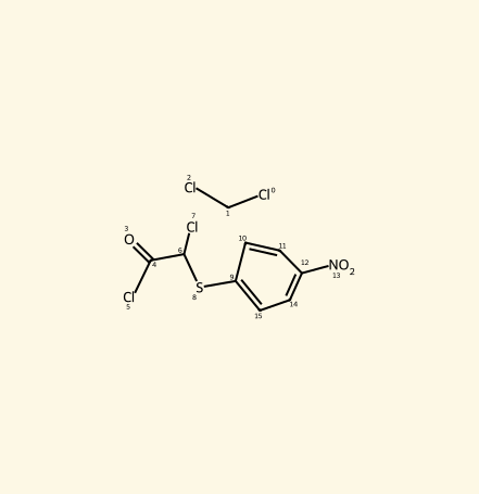 ClCCl.O=C(Cl)C(Cl)Sc1ccc([N+](=O)[O-])cc1